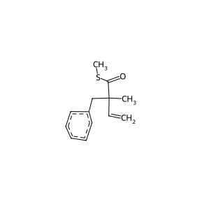 C=CC(C)(Cc1ccccc1)C(=O)SC